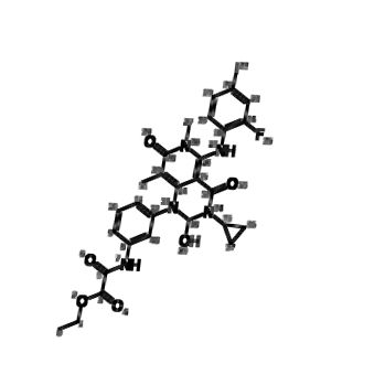 CCOC(=O)C(=O)Nc1cccc(N2c3c(c(Nc4ccc(I)cc4F)n(C)c(=O)c3C)C(=O)N(C3CC3)C2O)c1